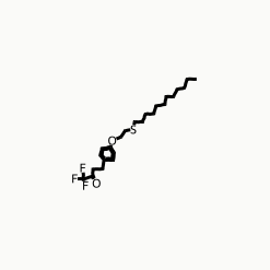 CCCCCCCCCCCCSCCOc1ccc(CCC(=O)C(F)(F)F)cc1